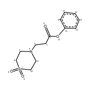 O=C(CCN1CCS(=O)(=O)CC1)Oc1ccccc1